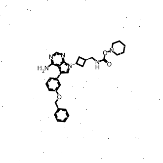 Nc1ncnc2c1c(-c1cccc(OCc3ccccc3)c1)cn2[C@H]1C[C@H](CNC(=O)ON2CCCCC2)C1